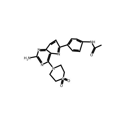 CC(=O)Nc1ccc(-c2ccc3nc(N)nc(N4CCS(=O)(=O)CC4)c3n2)cc1